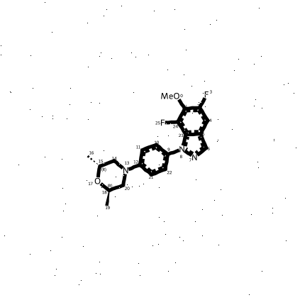 COc1c(F)cc2cnn(-c3ccc(N4C[C@@H](C)O[C@H](C)C4)cc3)c2c1F